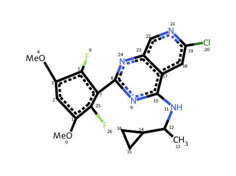 COc1cc(OC)c(F)c(-c2nc(NC(C)C3CC3)c3cc(Cl)ncc3n2)c1F